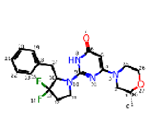 C[C@@H]1CN(c2cc(=O)[nH]c(N3CCC(F)(F)C3Cc3ccccc3)n2)CCO1